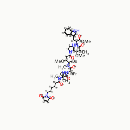 CCC(C)C(C(CC(=O)N1CCC[C@H]1C(OC)C(C)C(=O)NC(Cc1c[nH]c2ccccc12)C(=O)OC)OC)N(C)C(=O)C(NC(=O)C(C)(C)N(C)C(=O)CCCCCN1C(=O)C=CC1=O)C(C)C